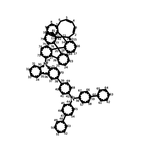 C=C1/C=C\C=C/Cc2ccccc2C12c1ccccc1C1(c3ccccc3-c3c(-n4c5ccccc5c5cc(-c6ccc(N(c7ccc(-c8ccccc8)cc7)c7ccc(-c8ccccc8)cc7)cc6)ccc54)cccc31)c1ccccc12